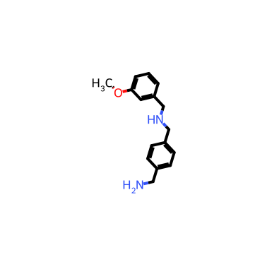 COc1cccc(CNCc2ccc(CN)cc2)c1